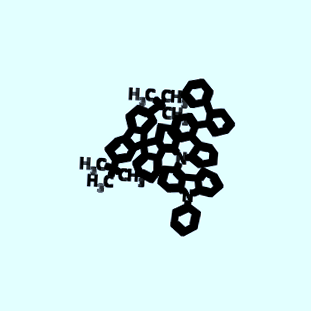 CC(C)(C)c1ccc2c(c1)C1(c3cc(C(C)(C)C)ccc3-2)c2ccccc2-c2c(N(c3ccccc3-c3ccccc3-c3ccccc3-c3ccccc3)c3cccc4c3c3ccccc3n4-c3ccccc3)cccc21